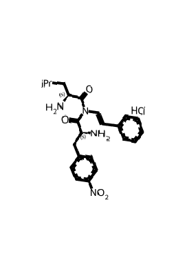 CC(C)C[C@H](N)C(=O)N(C=Cc1ccccc1)C(=O)[C@@H](N)Cc1ccc([N+](=O)[O-])cc1.Cl